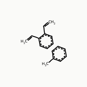 C=Cc1ccccc1C=C.Cc1ccccc1